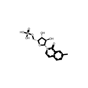 Cc1ccc2ccn([C@@H]3O[C@H](COP(=O)(O)O)[C@H](O)[C@H]3O)c(=O)c2c1